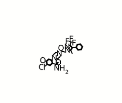 COc1cc(N2CCN(C(=O)Cn3nc(C(F)(F)F)c(-c4ccccc4)c3C)CC2)c(C(N)=O)cc1Cl